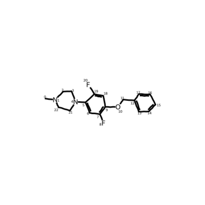 CN1CCN(c2cc(F)c(OCc3ccccc3)cc2F)CC1